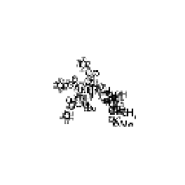 COC(=O)CC[C@@H](C)[C@H]1CC[C@H]2[C@@H]3[C@H](O)C[C@@H]4C[C@@H](NC(=O)[C@H](CCC(=O)OCc5ccccc5)NC(=O)[C@H](CCC(=O)OCc5ccccc5)NC(=O)[C@H](CCC(=O)OCc5ccccc5)NC(=O)OC(C)(C)C)CC[C@]4(C)[C@H]3C[C@H](O)[C@]12C